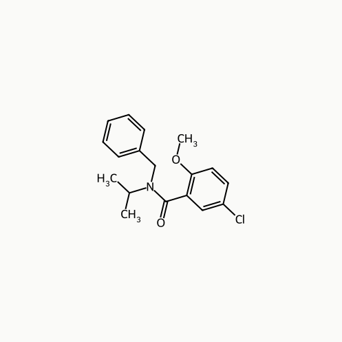 COc1ccc(Cl)cc1C(=O)N(Cc1ccccc1)C(C)C